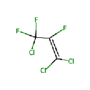 FC(=C(Cl)Cl)C(F)(F)Cl